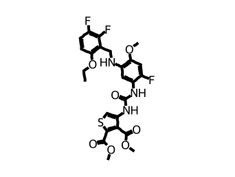 CCOc1ccc(F)c(F)c1CNc1cc(NC(=O)Nc2csc(C(=O)OC)c2C(=O)OC)c(F)cc1OC